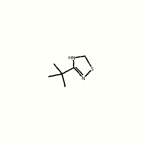 CC(C)(C)C1=NSCN1